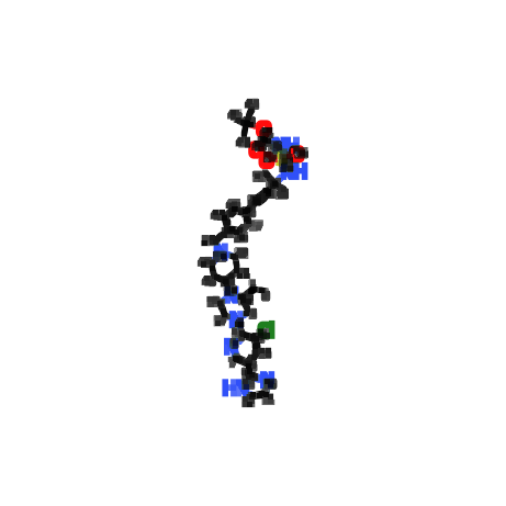 CC[C@H]1CN(c2ncc(-c3ncc[nH]3)cc2Cl)CCN1C1CCN(Cc2ccc(C#CC(C)(C)NS(=O)(=O)NC(=O)OC(C)(C)C)cc2)CC1